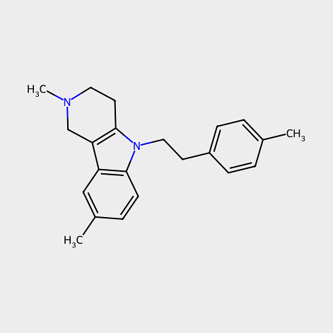 Cc1ccc(CCn2c3c(c4cc(C)ccc42)CN(C)CC3)cc1